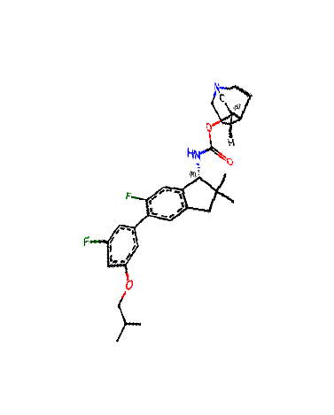 CC(C)COc1cc(F)cc(-c2cc3c(cc2F)[C@H](NC(=O)O[C@@H]2CN4CCC2CC4)C(C)(C)C3)c1